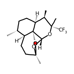 C[C@@H]1CC[C@H]2[C@@H](C)[C@](C)(C(F)(F)F)O[C@@H]3O[C@]4(C)CC[C@@H]1[C@]32OO4